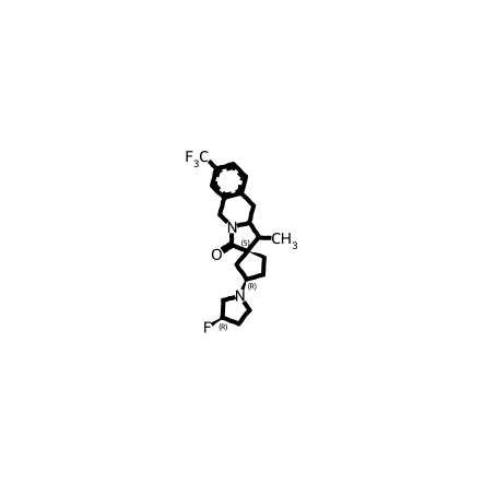 CC1C2Cc3ccc(C(F)(F)F)cc3CN2C(=O)[C@]12CC[C@@H](N1CC[C@@H](F)C1)C2